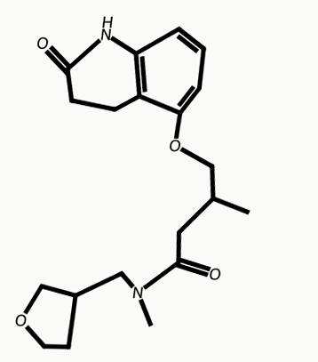 CC(COc1cccc2c1CCC(=O)N2)CC(=O)N(C)CC1CCOC1